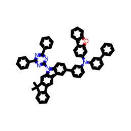 CC1(C)c2ccccc2-c2cc3c4cc(-c5cccc(N(c6cccc(-c7ccccc7)c6)c6ccc7c(c6)oc6ccccc67)c5)ccc4n(-c4nc(-c5ccccc5)nc(-c5ccccc5)n4)c3cc21